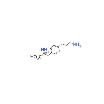 NCCCc1ccc(C[C@H](N)C(=O)O)cc1